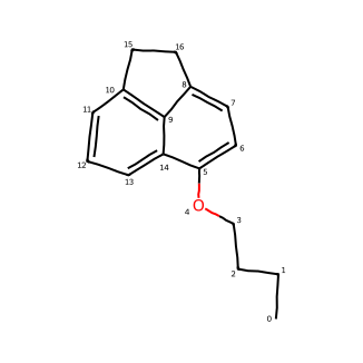 CCCCOc1ccc2c3c(cccc13)CC2